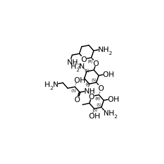 CC1O[C@H](O[C@@H]2C(O)C(O[C@H]3OC(CN)CCC3N)[C@@H](N)C[C@H]2NC(=O)[C@@H](O)CCN)C(O)[C@@H](N)[C@@H]1O